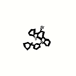 CC1(c2cccc(-n3c4ccccc4c4cc(Br)c5c6ccccc6sc5c43)c2)C=CC=CC1